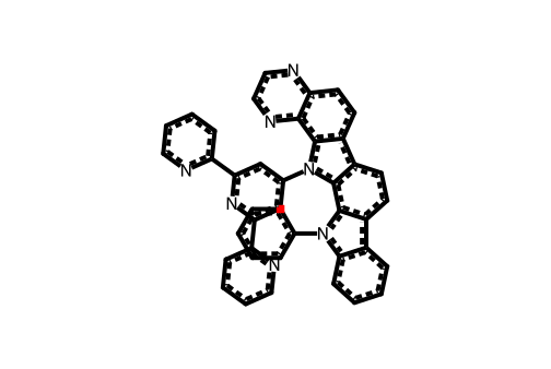 c1ccc(-n2c3ccccc3c3ccc4c5ccc6nccnc6c5n(-c5cc(-c6ccccn6)nc(-c6ccccn6)c5)c4c32)cc1